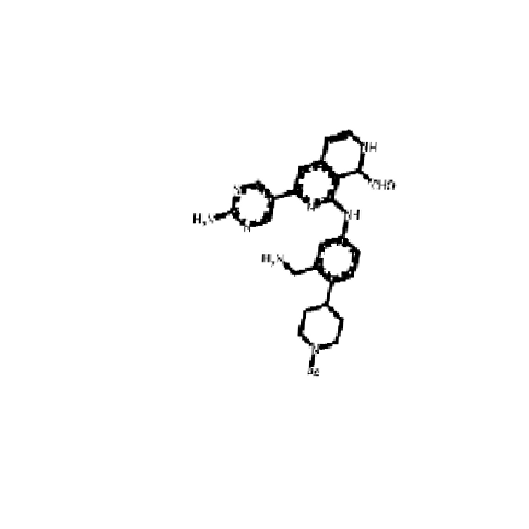 CC(=O)N1CCC(c2ccc(Nc3nc(-c4cnc(N)nc4)cc4c3C(C=O)NC=C4)cc2CN)CC1